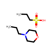 CCCN1CCOCC1.CCCS(=O)(=O)O